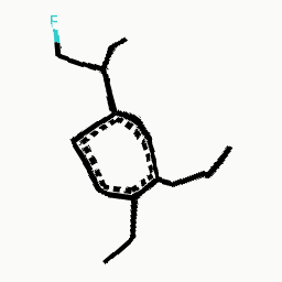 CCc1ccc([C](C)CF)cc1CC